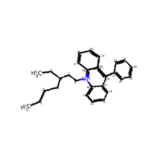 CCCCC(CC)CC[n+]1c2ccccc2c(-c2ccccc2)c2ccccc21